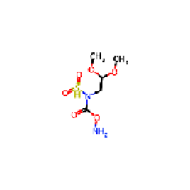 COC(CN(C(=O)ON)[SH](=O)=O)OC